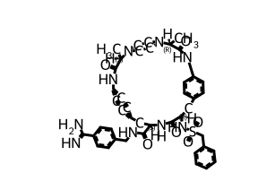 C[C@@H]1C(=O)Nc2ccc(cc2)C[C@@H](NS(=O)(=O)Cc2ccccc2)C(=O)N[C@H](C(=O)NCc2ccc(C(=N)N)cc2)Cc2ccc(cc2)NC(=O)[C@H](C)N2CCN1CC2